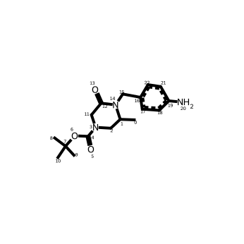 CC1CN(C(=O)OC(C)(C)C)CC(=O)N1Cc1ccc(N)cc1